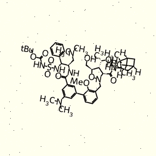 COc1c(CN2O[C@@H](CO)[C@H]([C@H](C)O)[C@H]2C(=O)N[C@H]2C[C@H]3C[C@@H]([C@@H]2C)C3(C)C)cccc1-c1cc(C(=O)N[C@H](CN(C)C)[C@@H](NS(=O)(=O)NC(=O)OC(C)(C)C)c2ccccc2)cc(N(C)C)c1